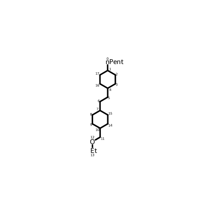 CCCCCC1CCC(CCC2CCC(COCC)CC2)CC1